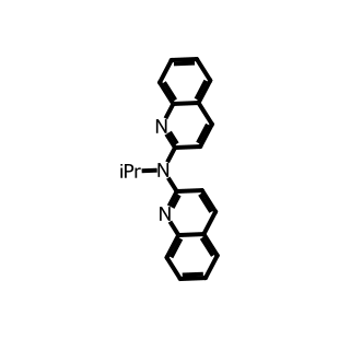 CC(C)N(c1ccc2ccccc2n1)c1ccc2ccccc2n1